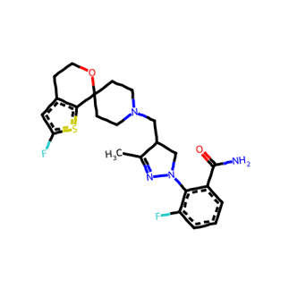 CC1=NN(c2c(F)cccc2C(N)=O)CC1CN1CCC2(CC1)OCCc1cc(F)sc12